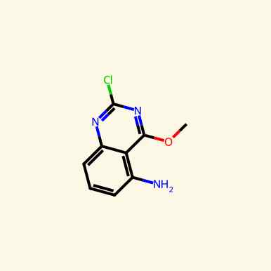 COc1nc(Cl)nc2cccc(N)c12